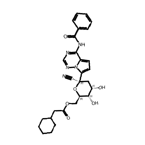 N#C[C@]1(c2ccc3c(NC(=O)c4ccccc4)ncnn23)C[C@H](O)[C@H](O)[C@@H](COC(=O)CC2CCCCC2)O1